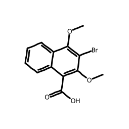 COc1c(Br)c(OC)c2ccccc2c1C(=O)O